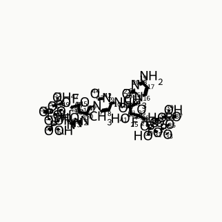 C[C@]1(N=[N+]=[N-])[C@H](n2ccc(NO[C@@]3(C)[C@H](n4ccc(N)nc4=O)O[C@](F)(COP(=O)(O)OP(=O)(O)OP(=O)(O)O)[C@H]3O)nc2=O)O[C@](F)(COP(=O)(O)OP(=O)(O)OP(=O)(O)O)[C@H]1O